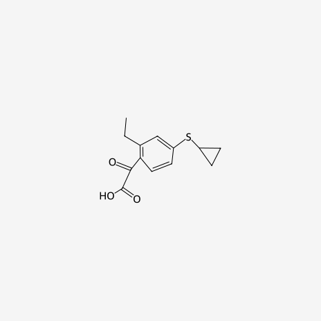 CCc1cc(SC2CC2)ccc1C(=O)C(=O)O